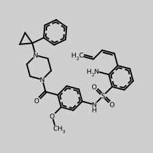 C=C/C=C\c1cccc(S(=O)(=O)Nc2ccc(C(=O)N3CCN(C4(c5ccccc5)CC4)CC3)c(OC)c2)c1N